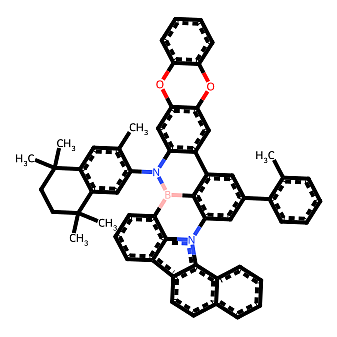 Cc1ccccc1-c1cc2c3c(c1)-n1c4c(cccc4c4ccc5ccccc5c41)B3N(c1cc3c(cc1C)C(C)(C)CCC3(C)C)c1cc3c(cc1-2)Oc1ccccc1O3